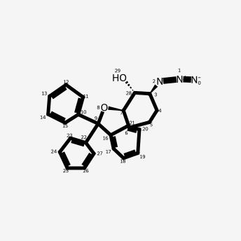 [N-]=[N+]=N[C@H]1CCC[C@@H](OC(c2ccccc2)(c2ccccc2)c2ccccc2)[C@@H]1O